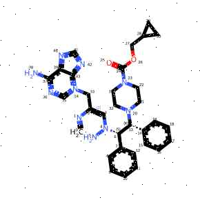 C=N/C(=C\N(N)[C@@H](c1ccccc1)[C@@H](c1ccccc1)N1CCN(C(=O)OCC2CC2)CC1)Cn1cnc(N)c2ncnc1-2